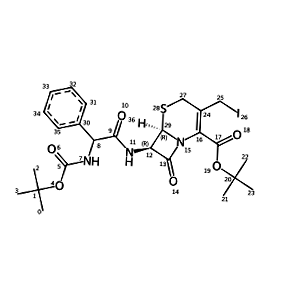 CC(C)(C)OC(=O)NC(C(=O)N[C@@H]1C(=O)N2C(C(=O)OC(C)(C)C)=C(CI)CS[C@H]12)c1ccccc1